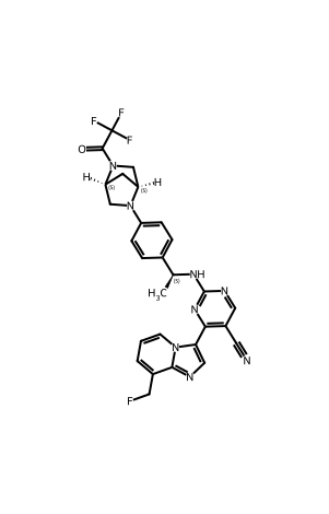 C[C@H](Nc1ncc(C#N)c(-c2cnc3c(CF)cccn23)n1)c1ccc(N2C[C@@H]3C[C@H]2CN3C(=O)C(F)(F)F)cc1